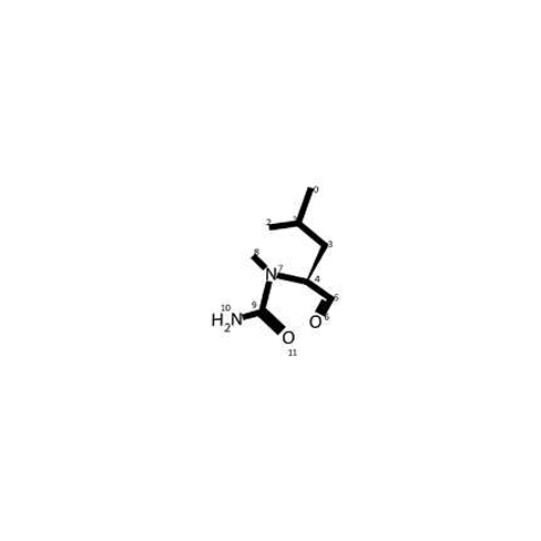 CC(C)C[C@@H](C=O)N(C)C(N)=O